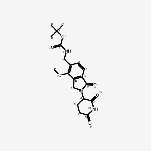 COc1c(CNC(=O)OC(C)(C)C)ccc2c1CN(C1CCC(=O)NC1=O)C2=O